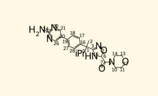 CC(C)C(C)(C1=NOC(C(=O)N2CCOCC2)N1)c1ccc(-c2cnc(N)nc2)cc1